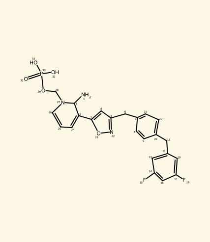 NC1C(c2cc(Cc3ccc(Cc4cc(F)cc(F)c4)cc3)no2)=CC=CN1COP(=O)(O)O